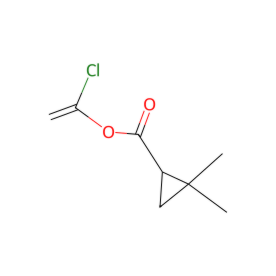 C=C(Cl)OC(=O)C1CC1(C)C